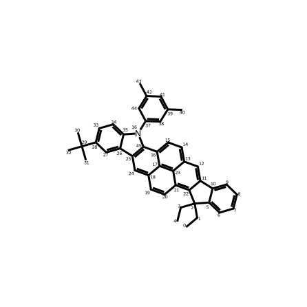 CCC1(CC)c2ccccc2-c2cc3ccc4c5c(ccc(c21)c35)cc1c2cc(C(C)(C)C)ccc2n(-c2cc(C)cc(C)c2)c14